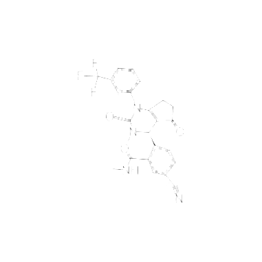 CNC(=O)c1cc(C#N)ccc1[C@@H]1C2=C(CCC2=O)N(c2cccc(C(F)(F)F)c2)C(=O)N1C